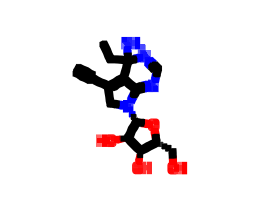 C#CC1=C2C(=NC=NC2(N)CC)N([C@@H]2O[C@H](CO)[C@@H](O)[C@H]2O)C1